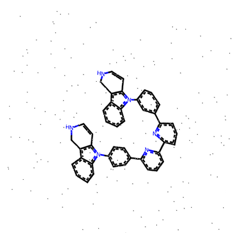 C1=Cc2c(c3ccccc3n2-c2ccc(-c3cccc(-c4cccc(-c5cccc(-n6c7c(c8ccccc86)CNC=C7)c5)n4)n3)cc2)CN1